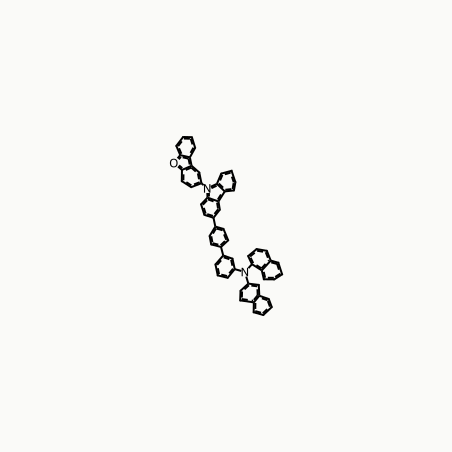 c1cc(-c2ccc(-c3ccc4c(c3)c3ccccc3n4-c3ccc4oc5ccccc5c4c3)cc2)cc(N(c2ccc3ccccc3c2)c2cccc3ccccc23)c1